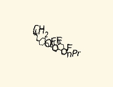 C=CCCC1CCC(OCc2ccc3c(c2F)C(F)Cc2c-3ccc(CCC)c2F)CC1